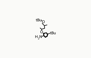 CC(COC(C)(C)C)CC(C)Oc1cc(C(C)(C)C)ccc1N